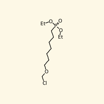 CCOP(=O)(CCCCCCCOCCl)OCC